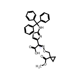 COC(=O)C1(CO/N=C(\C(=O)O)c2csc(NC(c3ccccc3)(c3ccccc3)c3ccccc3)n2)CC1